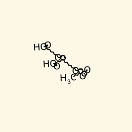 CCCc1c(OCCCCCCc2cccc(OCCCCCCC(=O)O)c2CCC(=O)O)ccc2c1OCCC2=O